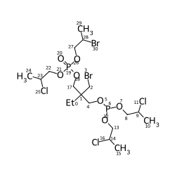 CCC(CBr)(COP(OCC(C)Cl)OCC(C)Cl)COP(=O)(OCC(C)Cl)OCC(C)Br